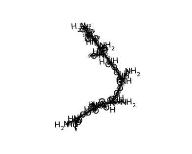 CCCNC(=O)C(CCCCN)NC(=O)CCOCCOCCNC(=O)C(CSC1CC(=O)C(CCC(=O)NC(CCCCN)C(=O)NCCOCCOCCC(=O)NC(CCCCN)C(=O)NCCOCCOCCC(=O)NCCCCC(NC(=O)CCOCC)C(=O)NC(CCCCNC(=O)CCN2C(=O)CC(SCC(C)C(N)=O)C2=O)C(N)=O)C1=O)NC(C)=O